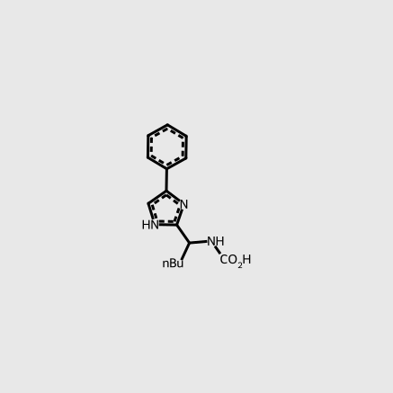 CCCCC(NC(=O)O)c1nc(-c2ccccc2)c[nH]1